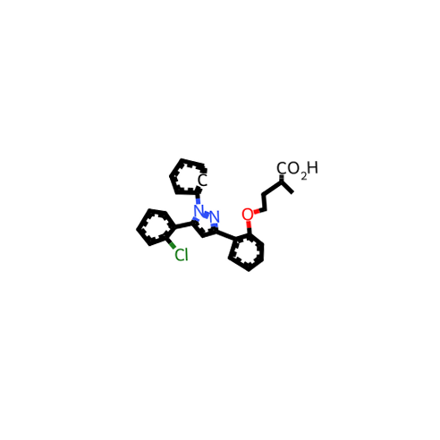 CC(CCOc1ccccc1-c1cc(-c2ccccc2Cl)n(-c2ccccc2)n1)C(=O)O